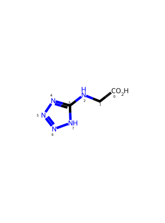 O=C(O)CNc1nnn[nH]1